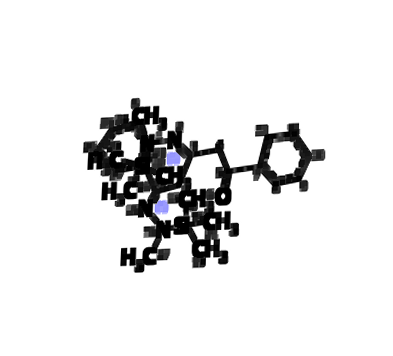 CN(/N=C(/CC(=O)c1ccccc1)C/C(=N\N(C)[Si](C)(C)C)c1ccccc1)[Si](C)(C)C